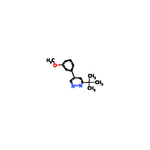 COc1cccc(-c2cnnc(C(C)(C)C)c2)c1